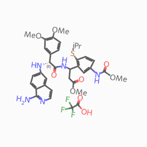 COC(=O)CC(NC(=O)[C@H](Nc1ccc2c(N)nccc2c1)c1ccc(OC)c(OC)c1)c1cc(NC(=O)OC)ccc1SC(C)C.O=C(O)C(F)(F)F